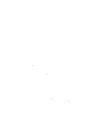 CN(C)C(CC(F)C(=O)c1ccccc1)N1CCC2(CC1)C(=O)NCN2c1ccccc1